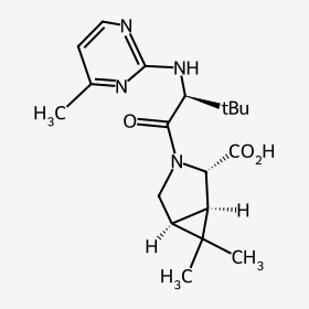 Cc1ccnc(N[C@H](C(=O)N2C[C@H]3[C@@H]([C@H]2C(=O)O)C3(C)C)C(C)(C)C)n1